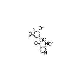 COc1cc(OC(=O)c2ccncc2[N+](=O)[O-])cc(OC)c1C